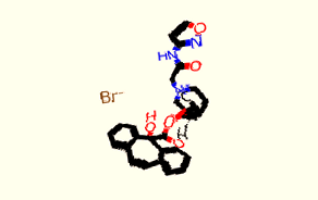 O=C(C[N+]12CCC(CC1)[C@@H](OC(=O)C1(O)c3ccccc3C=Cc3ccccc31)C2)Nc1ccon1.[Br-]